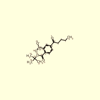 CCCCC(=O)c1ccc(C(=O)OC(C)(C)C)c([N+](=O)[O-])c1